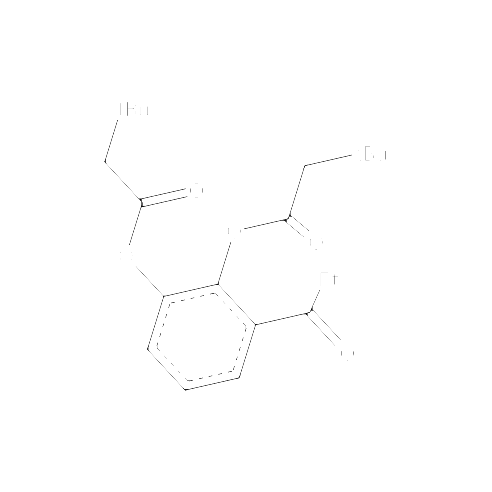 CCC(=O)c1cccc(OC(=O)CC(C)(C)C)c1OC(=O)CC(C)(C)C